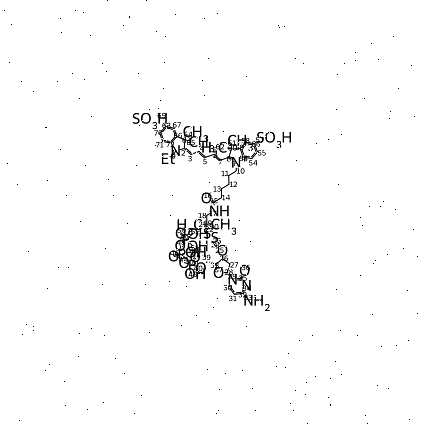 CCN1/C(=C/C=C/C=C/C2=[N+](CCCCCC(=O)NCC(C)(C)SSCOC3C[C@H](n4ccc(N)nc4=O)O[C@@H]3COP(=O)(O)OP(=O)(O)OP(=O)(O)O)c3ccc(S(=O)(=O)O)cc3C2(C)C)C(C)(C)c2cc(S(=O)(=O)O)ccc21